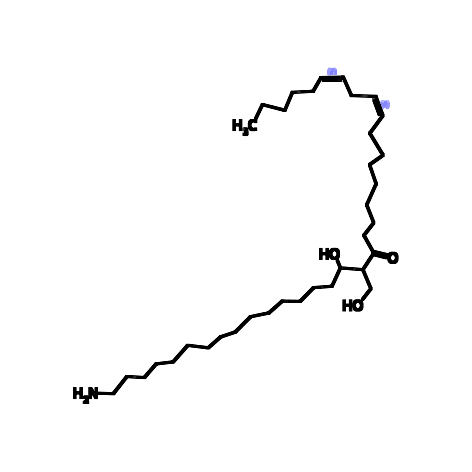 CCCCC/C=C\C/C=C\CCCCCCCC(=O)C(CO)C(O)CCCCCCCCCCCCCCCN